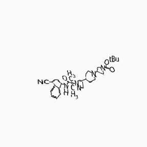 CC(C)(C)OC(=O)N1CC(N2CCC(c3cnn(C(C)(C)C(=O)Nc4ccc(C#N)c5ccccc45)c3)CC2)C1